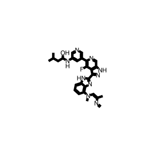 C=N/C(C)=C\N(C)c1cccc2[nH]c(-c3n[nH]c4cnc(-c5cncc(NC(O)CC(C)C)c5)c(F)c34)nc12